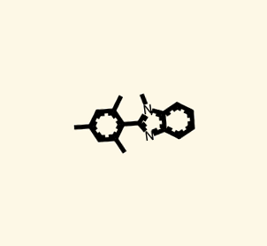 Cc1cc(C)c(-c2nc3ccccc3n2C)c(C)c1